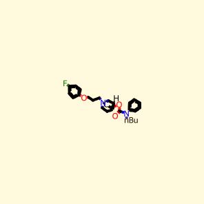 CCCCN(C(=O)O[C@H]1C[N+]2(CCCOc3ccc(F)cc3)CCC1CC2)c1ccccc1